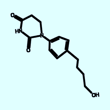 O=C1CCN(c2ccc(CCCCO)cc2)C(=O)N1